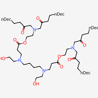 CCCCCCCCCCCCC(=O)CN(CCOC(=O)CCN(CCO)CCCCN(CCO)CCC(=O)OCCN(CC(=O)CCCCCCCCCCCC)CC(=O)CCCCCCCCCCCC)CC(=O)CCCCCCCCCCCC